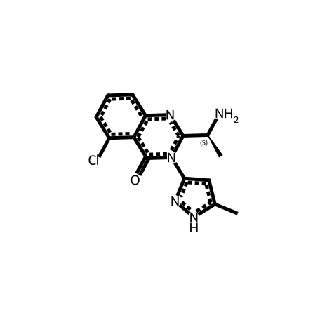 Cc1cc(-n2c([C@H](C)N)nc3cccc(Cl)c3c2=O)n[nH]1